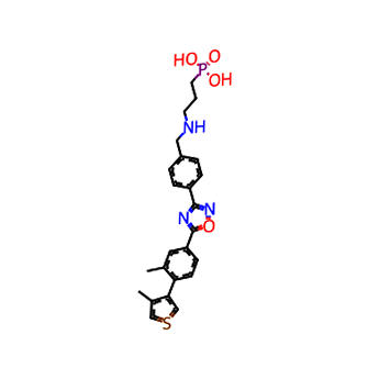 Cc1cc(-c2nc(-c3ccc(CNCCCP(=O)(O)O)cc3)no2)ccc1-c1cscc1C